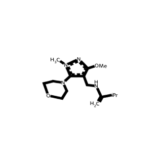 C=C(NCc1c(OC)nn(C)c1N1CCOCC1)C(C)C